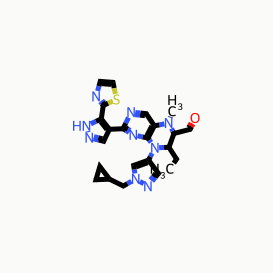 CCC1C(C=O)N(C)c2cnc(-c3cn[nH]c3-c3nccs3)nc2N1c1cnn(CC2CC2)c1